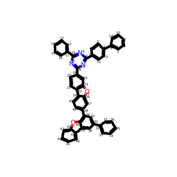 c1ccc(-c2ccc(-c3nc(-c4ccccc4)nc(-c4ccc5c(c4)oc4cc(-c6cc(-c7ccccc7)cc7c6oc6ccccc67)ccc45)n3)cc2)cc1